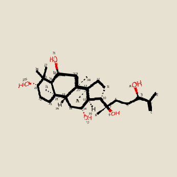 C=C(C)[C@H](O)CC[C@](C)(O)[C@H]1CC[C@@]2(C)[C@@H]1[C@H](O)C[C@@H]1[C@@]3(C)CC[C@H](O)C(C)(C)C3[C@@H](O)C[C@]12C